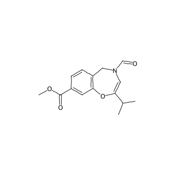 COC(=O)c1ccc2c(c1)OC(C(C)C)=CN(C=O)C2